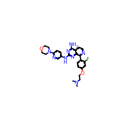 CN(C)CCOc1ccc(-c2nccc3c(N)nc(Nc4ccc(N5CCOCC5)nc4)nc23)c(F)c1